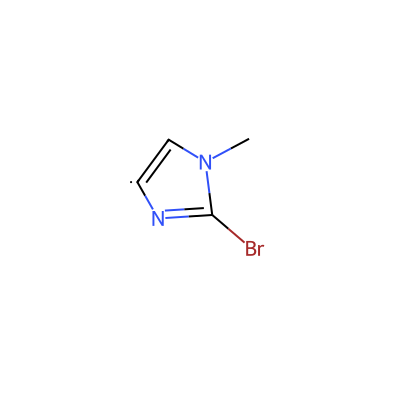 Cn1c[c]nc1Br